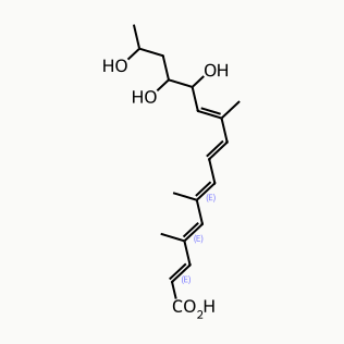 CC(C=C/C=C(C)/C=C(C)/C=C/C(=O)O)=CC(O)C(O)CC(C)O